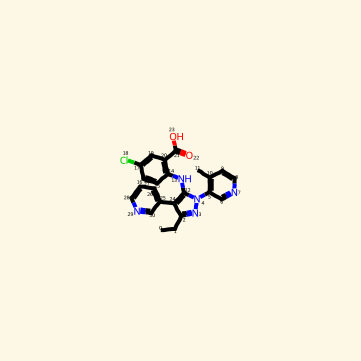 CCc1nn(-c2cnccc2C)c(Nc2ccc(Cl)cc2C(=O)O)c1-c1cccnc1